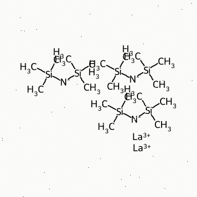 C[Si](C)(C)[N-][Si](C)(C)C.C[Si](C)(C)[N-][Si](C)(C)C.C[Si](C)(C)[N-][Si](C)(C)C.[La+3].[La+3]